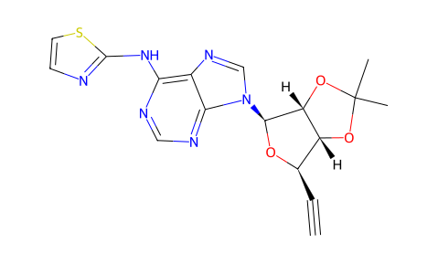 C#C[C@H]1O[C@@H](n2cnc3c(Nc4nccs4)ncnc32)[C@@H]2OC(C)(C)O[C@@H]21